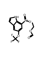 CCOC=O.O=[N+]([O-])c1cc(OC(F)(F)F)cc2cc[nH]c12